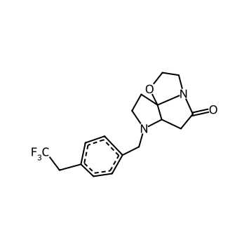 O=C1CC2N(Cc3ccc(CC(F)(F)F)cc3)CCC23OCCN13